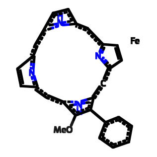 COc1c(-c2ccccc2)c2cc3nc(cc4ccc(cc5nc(cc1[nH]2)C=C5)[nH]4)C=C3.[Fe]